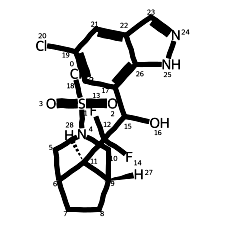 CS(=O)(=O)N1CC2CC[C@@H](C1)[C@@H]2C(F)(F)C(O)c1cc(Cl)cc2cn[nH]c12